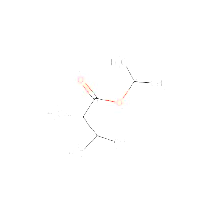 CC(C)OC(=O)[C@@H](C)C(C)C